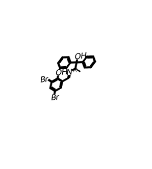 C[C@@H](N=Cc1cc(Br)cc(Br)c1O)C(O)(c1ccccc1)c1ccccc1